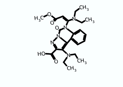 CCN(CC)/C(=C/C(=O)OC)n1c(=O)n2nc(C(=O)O)c(N(CC)CC)c2c2ccccc21